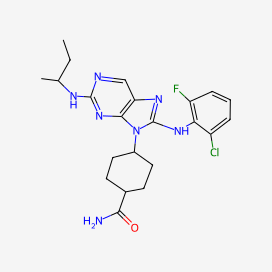 CCC(C)Nc1ncc2nc(Nc3c(F)cccc3Cl)n(C3CCC(C(N)=O)CC3)c2n1